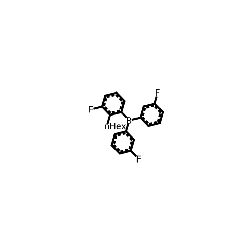 CCCCCCc1c(F)cccc1B(c1cccc(F)c1)c1cccc(F)c1